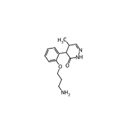 CC1C=NNC(=O)C1c1ccccc1OCCCN